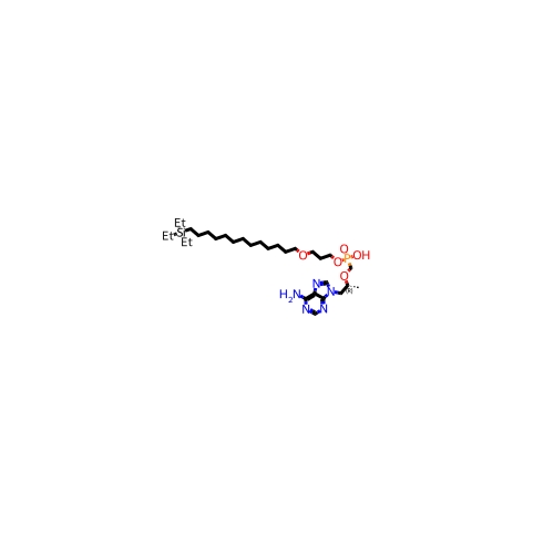 CC[Si](CC)(CC)CCCCCCCCCCCCCOCCCOP(=O)(O)CO[C@H](C)Cn1cnc2c(N)ncnc21